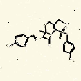 CC(=O)OCC1=C(S(=O)(=O)Oc2ccc([N+](=O)[O-])cc2)N2C(=O)[C@H](N=Cc3ccc([N+](=O)[O-])cc3)[C@@H]2SC1